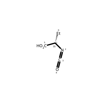 CC[C@H](N=C=O)C(=O)O